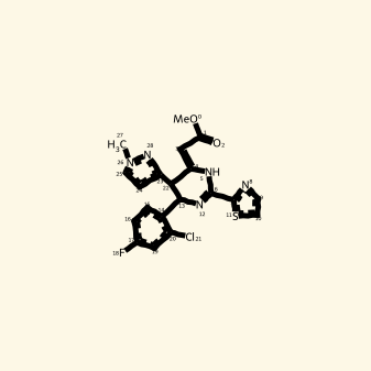 COC(=O)/C=C1\NC(c2nccs2)=NC(c2ccc(F)cc2Cl)C1c1ccn(C)n1